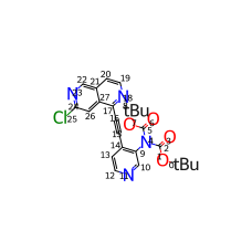 CC(C)(C)OC(=O)N(C(=O)OC(C)(C)C)c1cnccc1C#Cc1nccc2cnc(Cl)cc12